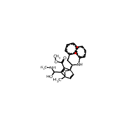 CNC(O)C1=C(C(=O)OC)C2(C(Cc3ccccc3)Nc3ccccc3)C=CC1(C)O2